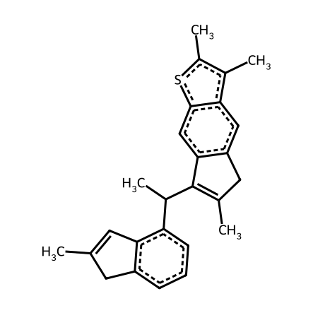 CC1=Cc2c(cccc2C(C)C2=C(C)Cc3cc4c(C)c(C)sc4cc32)C1